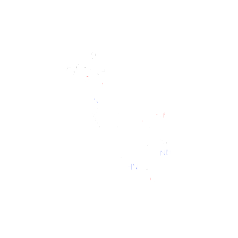 CC(C)(C)OC(=O)n1ccc2cc(-c3ccc4[nH]c(=O)c5[nH]cc(C(=O)O)c5c4c3)ccc21